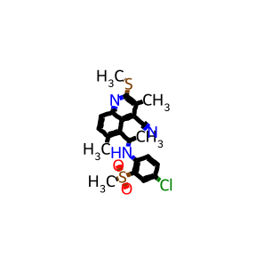 CSc1nc2ccc(C)c(C(C)Nc3ccc(Cl)cc3S(C)(=O)=O)c2c(C#N)c1C